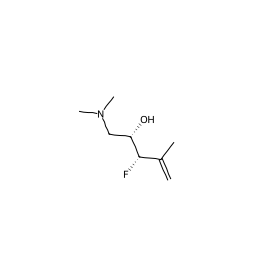 C=C(C)[C@H](F)[C@@H](O)CN(C)C